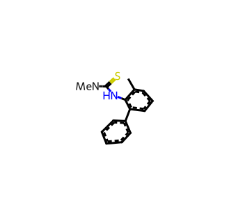 CNC(=S)Nc1c(C)cccc1-c1ccccc1